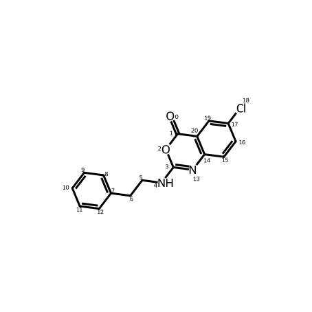 O=c1oc(NCCc2ccccc2)nc2ccc(Cl)cc12